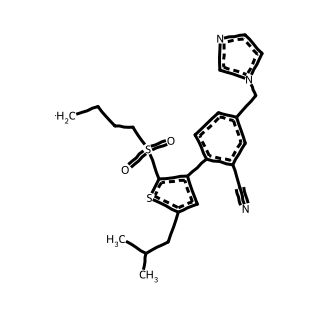 [CH2]CCCS(=O)(=O)c1sc(CC(C)C)cc1-c1ccc(Cn2ccnc2)cc1C#N